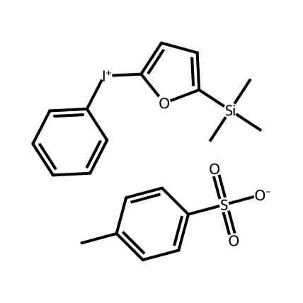 C[Si](C)(C)c1ccc([I+]c2ccccc2)o1.Cc1ccc(S(=O)(=O)[O-])cc1